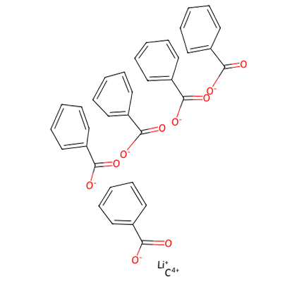 O=C([O-])c1ccccc1.O=C([O-])c1ccccc1.O=C([O-])c1ccccc1.O=C([O-])c1ccccc1.O=C([O-])c1ccccc1.[C+4].[Li+]